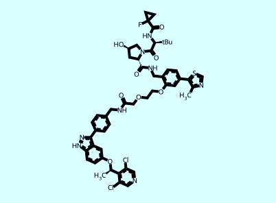 Cc1ncsc1-c1ccc(CNC(=O)[C@@H]2C[C@@H](O)CN2C(=O)[C@@H](NC(=O)C2(F)CC2)C(C)(C)C)c(OCCOCC(=O)NCc2ccc(-c3n[nH]c4ccc(O[C@H](C)c5c(Cl)cncc5Cl)cc34)cc2)c1